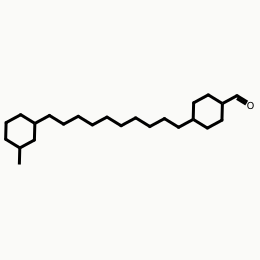 CC1CCCC(CCCCCCCCCCC2CCC(C=O)CC2)C1